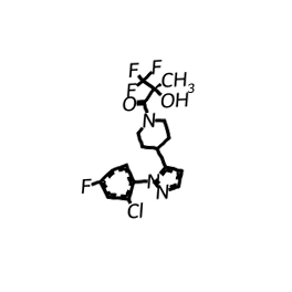 C[C@@](O)(C(=O)N1CCC(c2ccnn2-c2ccc(F)cc2Cl)CC1)C(F)(F)F